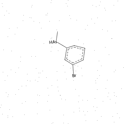 C[AsH]c1cccc(Br)c1